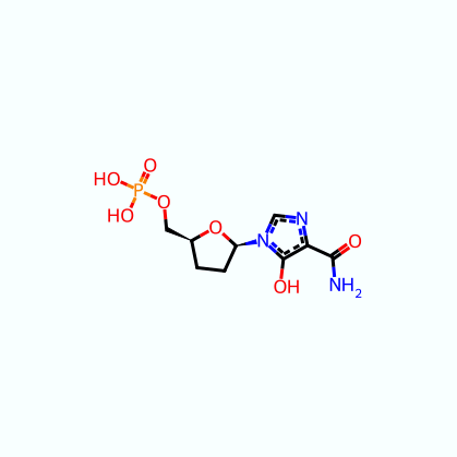 NC(=O)c1ncn([C@H]2CC[C@@H](COP(=O)(O)O)O2)c1O